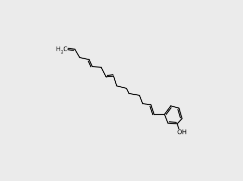 C=CCC=CCC=CCCCCCC=Cc1cccc(O)c1